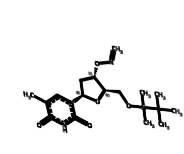 C=NO[C@H]1C[C@H](n2cc(C)c(=O)[nH]c2=O)O[C@@H]1CO[Si](C)(C)C(C)(C)C